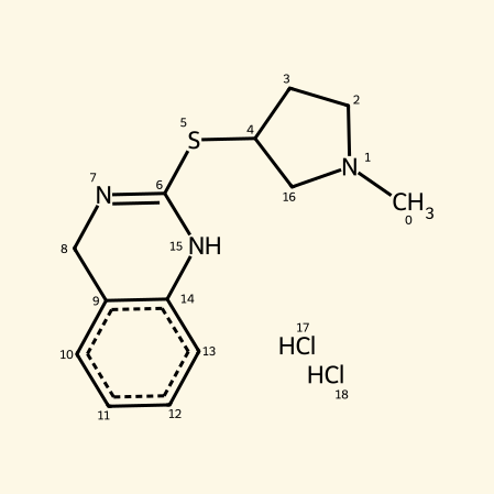 CN1CCC(SC2=NCc3ccccc3N2)C1.Cl.Cl